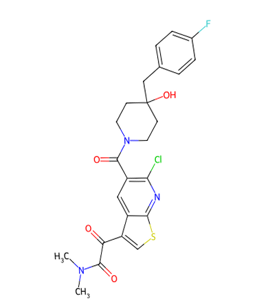 CN(C)C(=O)C(=O)c1csc2nc(Cl)c(C(=O)N3CCC(O)(Cc4ccc(F)cc4)CC3)cc12